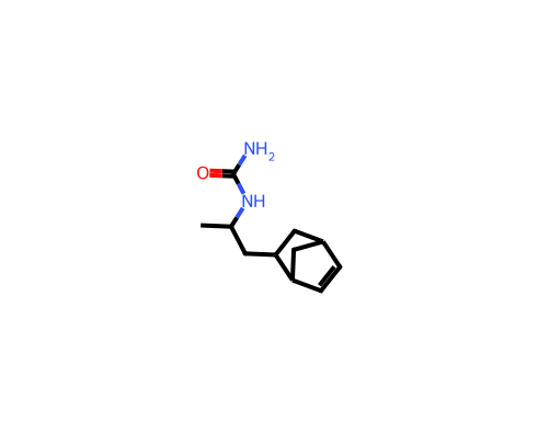 CC(CC1CC2C=CC1C2)NC(N)=O